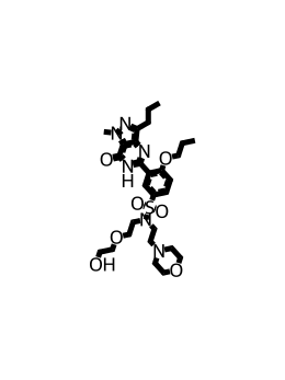 CCCOc1ccc(S(=O)(=O)N(CCOCCO)CCN2CCOCC2)cc1-c1nc2c(CCC)nn(C)c2c(=O)[nH]1